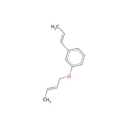 [CH2]C=Cc1cccc(OCC=CC)c1